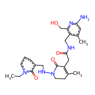 CCn1cccc(CNN2CCC(C)=C(CC(=O)NCc3c(C)cc(N)nc3CO)C2=O)c1=O